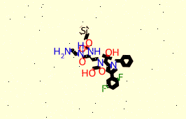 CC(C)(O)[C@H](c1cc(-c2cc(F)ccc2F)cn1Cc1ccccc1)N(CC[C@H](NC(=O)OCC[Si](C)(C)C)C(=O)NCCN)C(=O)CO